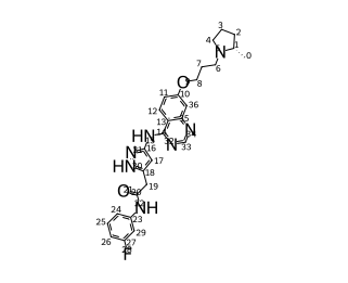 C[C@H]1CCCN1CCCOc1ccc2c(Nc3cc(CC(=O)Nc4cccc(F)c4)[nH]n3)ncnc2c1